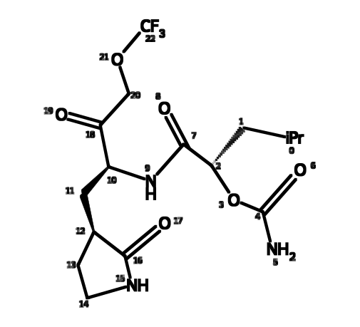 CC(C)C[C@H](OC(N)=O)C(=O)N[C@@H](C[C@@H]1CCNC1=O)C(=O)COC(F)(F)F